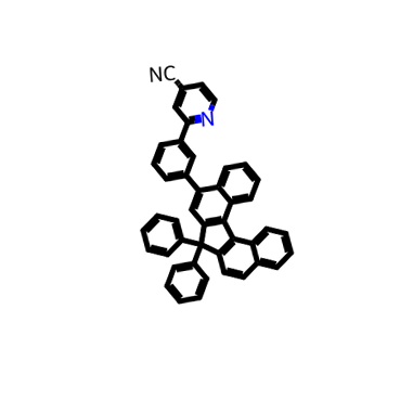 N#Cc1ccnc(-c2cccc(-c3cc4c(c5ccccc35)-c3c(ccc5ccccc35)C4(c3ccccc3)c3ccccc3)c2)c1